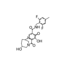 Cc1cc(F)c(CNC(=O)c2cn3c(c(O)c2=O)C(=O)N2CC(O)CCC3C2)c(F)c1